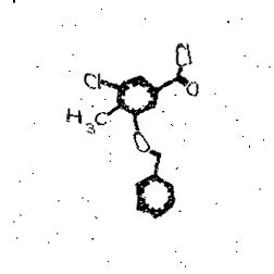 Cc1c(Cl)cc(C(=O)Cl)cc1OCc1ccccc1